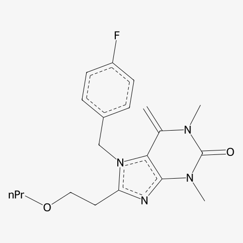 C=C1c2c(nc(CCOCCC)n2Cc2ccc(F)cc2)N(C)C(=O)N1C